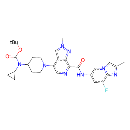 Cc1cn2cc(NC(=O)c3ncc(N4CCC(N(C(=O)OC(C)(C)C)C5CC5)CC4)c4cn(C)nc34)cc(F)c2n1